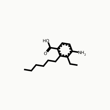 CCCCCCc1c(C(=O)O)ccc(N)c1CC